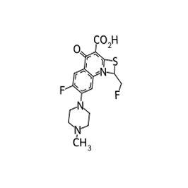 CN1CCN(c2cc3c(cc2F)c(=O)c(C(=O)O)c2n3C(CF)S2)CC1